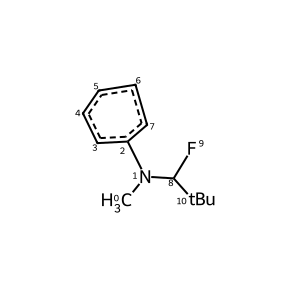 CN(c1ccccc1)C(F)C(C)(C)C